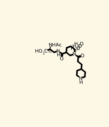 CC(=O)N[C@@H](CNC(=O)C1CCCN(C(=O)CCC2CCNCC2)C1)C(=O)O.O.O.O